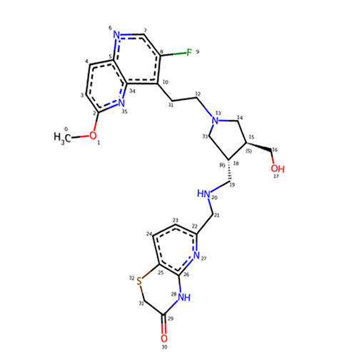 COc1ccc2ncc(F)c(CCN3C[C@@H](CO)[C@H](CNCc4ccc5c(n4)NC(=O)CS5)C3)c2n1